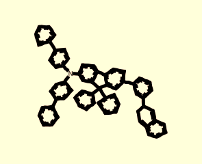 C1=c2ccccc2=CC(c2cccc(-c3ccc4c(c3)C(c3ccccc3)(c3ccccc3)c3cc(N(c5ccc(-c6ccccc6)cc5)c5ccc(-c6ccccc6)cc5)ccc3-4)c2)C1